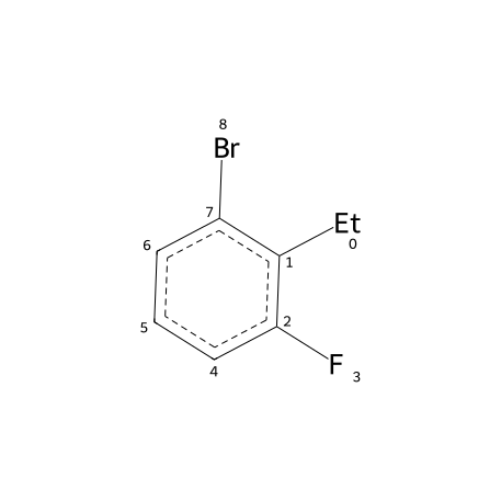 [CH2]Cc1c(F)cccc1Br